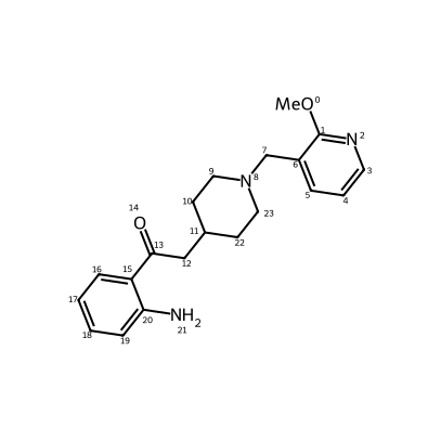 COc1ncccc1CN1CCC(CC(=O)c2ccccc2N)CC1